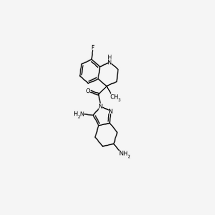 CC1(C(=O)n2nc3c(c2N)CCC(N)C3)CCNc2c(F)cccc21